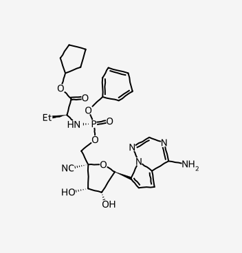 CC[C@H](N[P@](=O)(OC[C@@]1(C#N)O[C@@H](c2ccc3c(N)ncnn23)[C@H](O)[C@@H]1O)Oc1ccccc1)C(=O)OC1CCCC1